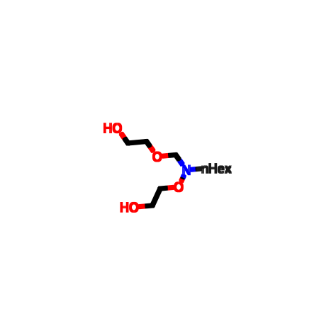 CCCCCCN(COCCO)OCCO